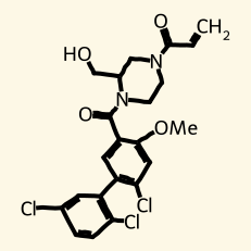 C=CC(=O)N1CCN(C(=O)c2cc(-c3cc(Cl)ccc3Cl)c(Cl)cc2OC)C(CO)C1